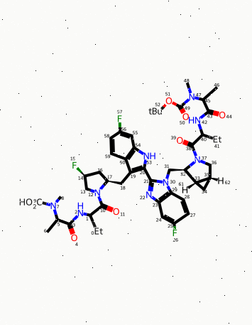 CCC(NC(=O)C(C)N(C)C(=O)O)C(=O)N1C[C@@H](F)C[C@H]1Cc1c(-c2nc3cc(F)ccc3n2C[C@@H]2[C@H]3C[C@H]3CN2C(=O)C(CC)NC(=O)C(C)N(C)C(=O)OC(C)(C)C)[nH]c2cc(F)ccc12